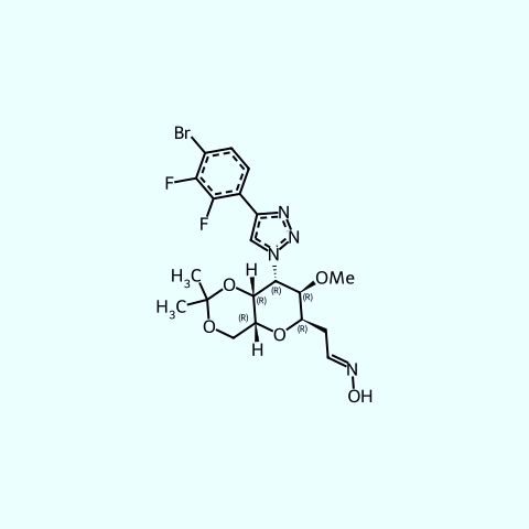 CO[C@@H]1[C@@H](n2cc(-c3ccc(Br)c(F)c3F)nn2)[C@H]2OC(C)(C)OC[C@H]2O[C@@H]1CC=NO